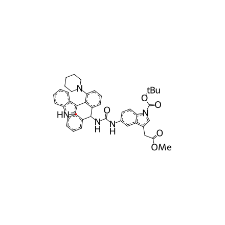 COC(=O)Cc1cn(C(=O)OC(C)(C)C)c2ccc(NC(=O)NC(c3ccccc3)c3cccc(N4CCCCC4)c3-c3c[nH]c4ccccc34)cc12